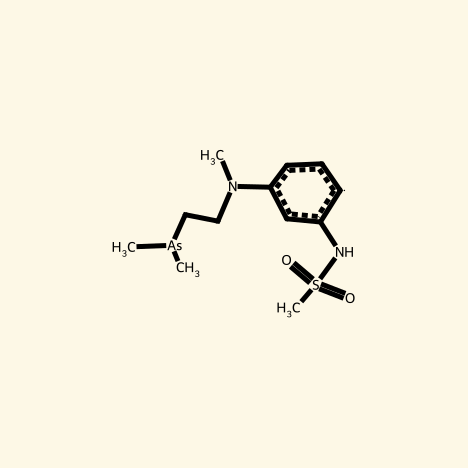 CN(CC[As](C)C)c1cc[c]c(NS(C)(=O)=O)c1